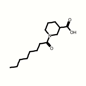 CCCCCCCC(=O)N1CCCC(C(=O)O)C1